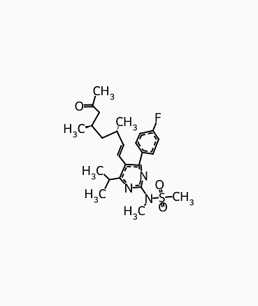 CC(=O)C[C@H](C)C[C@H](C)/C=C/c1c(-c2ccc(F)cc2)nc(N(C)S(C)(=O)=O)nc1C(C)C